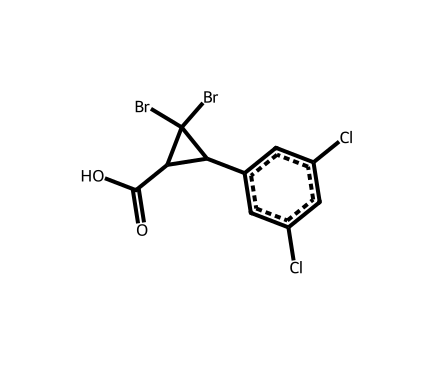 O=C(O)C1C(c2cc(Cl)cc(Cl)c2)C1(Br)Br